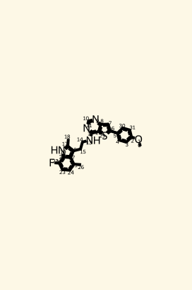 COc1ccc(-c2cc3ncnc(NCCc4c(C)[nH]c5c(F)ccc(C)c45)c3s2)cc1